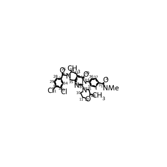 CNC(=O)c1ccc(-n2c(N3CCOC(C)C3)nc3c(c2=O)C[C@@H](C)N(C(=O)c2ccc(Cl)c(Cl)c2)C3)cc1